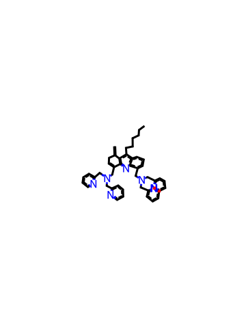 C=C1CC=C(CN(Cc2ccccn2)Cc2ccccn2)c2nc3c(CN(Cc4ccccn4)Cc4ccccn4)cccc3c(CCCCCC)c21